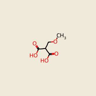 COCC(C(=O)O)C(=O)O